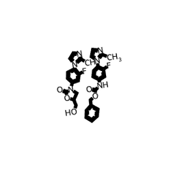 Cc1nccn1-c1ccc(N2CC(CO)OC2=O)cc1F.Cc1nccn1-c1ccc(NC(=O)OCc2ccccc2)cc1F